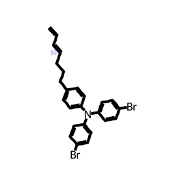 C=C/C=C/CCCc1ccc(N(c2ccc(Br)cc2)c2ccc(Br)cc2)cc1